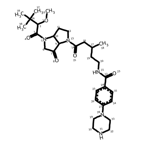 COC(C(=O)N1CC(=O)C2C1CCN2C(=O)CC(C)CCNC(=O)c1ccc(N2CCNCC2)cc1)C(C)(C)C